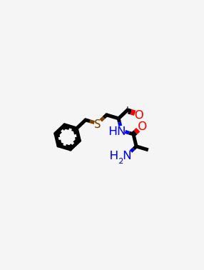 CC(N)C(=O)NC([C]=O)CSCc1ccccc1